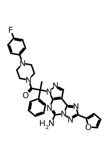 CC(C(=O)N1CCN(c2ccc(F)cc2)CC1)(c1ccccc1)n1ncc2c1nc(N)n1nc(-c3ccco3)nc21